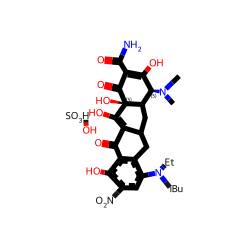 CCC(C)N(CC)c1cc([N+](=O)[O-])c(O)c2c1CC1CC3[C@H](N(C)C)C(O)=C(C(N)=O)C(=O)[C@@]3(O)C(O)=C1C2=O.O=S(=O)(O)O